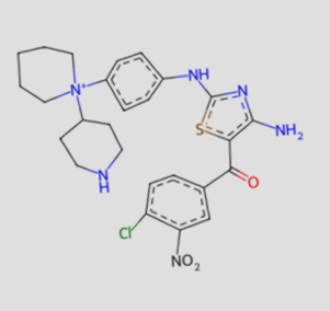 Nc1nc(Nc2ccc([N+]3(C4CCNCC4)CCCCC3)cc2)sc1C(=O)c1ccc(Cl)c([N+](=O)[O-])c1